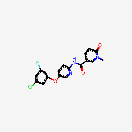 Cn1cc(C(=O)Nc2ccc(Oc3cc(F)cc(Cl)c3)cn2)ccc1=O